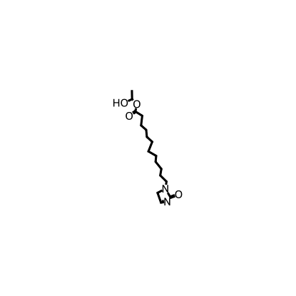 CC(O)OC(=O)CCCCCCCCCCCN1CC=NC1=O